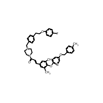 Cc1ccc(COc2ccc(Oc3c(C)cc(C=CC(=O)N4CCN(Cc5ccc(CCOc6ccc(F)cc6)cc5)CC4)cc3C)nc2)cc1